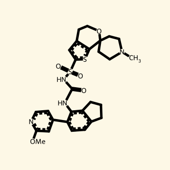 COc1cc(-c2ccc3c(c2NC(=O)NS(=O)(=O)c2cc4c(s2)C2(CCN(C)CC2)OCC4)CCC3)ccn1